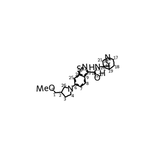 COCC1CCN(c2ccc3c(C(=O)N[C@H]4CN5CCC4CC5)nsc3c2)C1